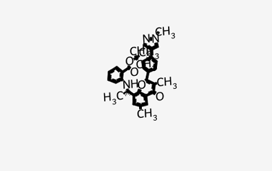 Cc1cc([C@@H](C)Nc2ccccc2C(=O)OC(C)(C)C)c2oc(-c3ccc(-c4cnn(C)c4)cc3)c(C)c(=O)c2c1